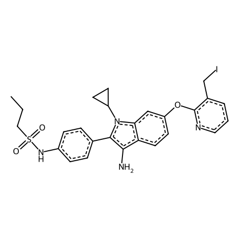 CCCS(=O)(=O)Nc1ccc(-c2c(N)c3ccc(Oc4ncccc4CI)cc3n2C2CC2)cc1